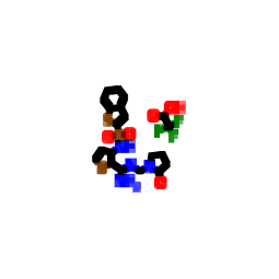 NC(=NCN1CCCC1=O)c1sccc1NS(=O)(=O)c1cc2ccccc2s1.O=C(O)C(F)(F)F